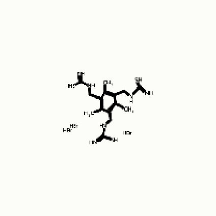 Br.Br.Br.Cc1c(CNC(=N)S)c(C)c(CNC(=N)S)c(C)c1CNC(=N)S